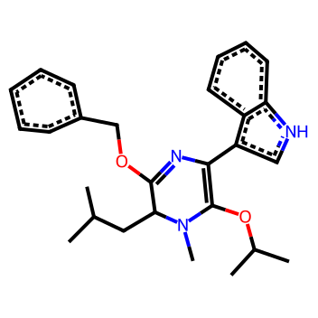 CC(C)CC1C(OCc2ccccc2)=NC(c2c[nH]c3ccccc23)=C(OC(C)C)N1C